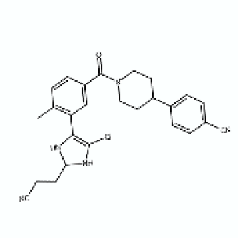 Cc1ccc(C(=O)N2CCC(c3ccc(C#N)cc3)CC2)cc1C1=C(Cl)NC(CCC#N)N1